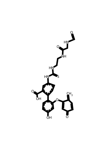 C=C1C=CC(=O)C=C1Oc1cc(O)ccc1-c1ccc(NC(=S)NCCNC(=O)CNC=O)cc1C(=O)O